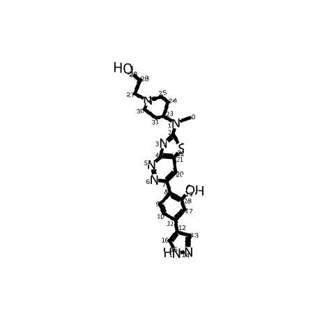 CN(c1nc2nnc(-c3ccc(-c4cn[nH]c4)cc3O)cc2s1)C1CCN(CCO)CC1